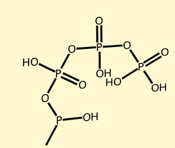 CP(O)OP(=O)(O)OP(=O)(O)OP(=O)(O)O